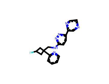 FC1CC(CNc2ccc(-c3cnccn3)nn2)(c2ccccn2)C1